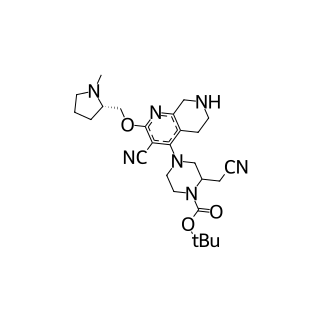 CN1CCC[C@H]1COc1nc2c(c(N3CCN(C(=O)OC(C)(C)C)C(CC#N)C3)c1C#N)CCNC2